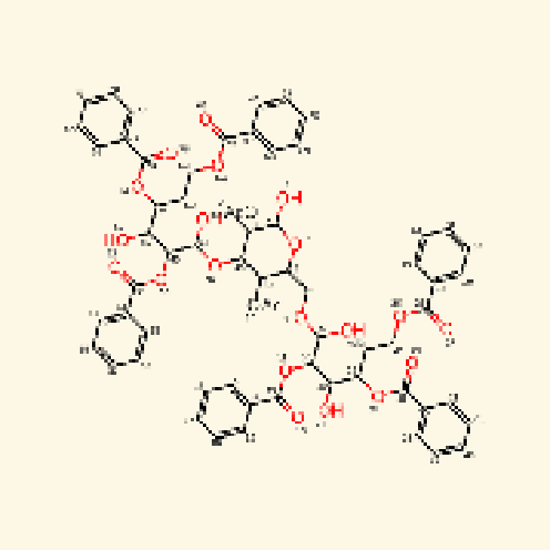 CC(=O)OC1C(O)OC(COC(O)C(OC(=O)c2ccccc2)C(O)C(CCOC(=O)c2ccccc2)OC(=O)c2ccccc2)C(OC(C)=O)C1OC(O)C(OC(=O)c1ccccc1)C(O)C(CCOC(=O)c1ccccc1)OC(=O)c1ccccc1